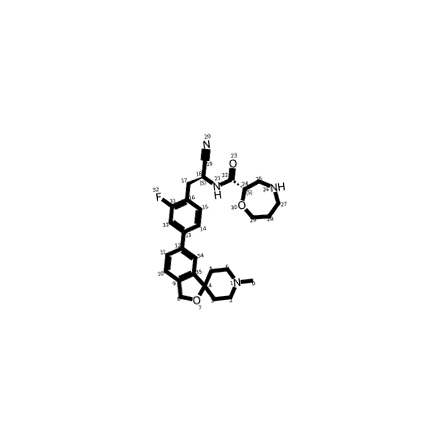 CN1CCC2(CC1)OCc1ccc(-c3ccc(C[C@@H](C#N)NC(=O)[C@@H]4CNCCCO4)c(F)c3)cc12